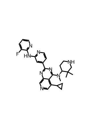 CN(c1nc(-c2ccnc(Nc3ncccc3F)c2)nc2cncc(C3CC3)c12)C1CCNCC1(C)C